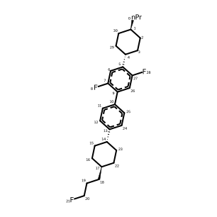 CCC[C@H]1CC[C@H](c2cc(F)c(-c3ccc([C@H]4CC[C@H](CCCF)CC4)cc3)cc2F)CC1